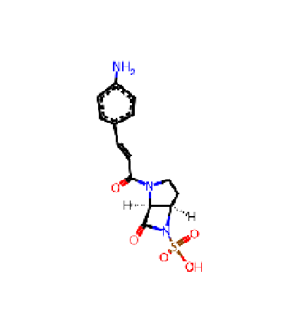 Nc1ccc(/C=C/C(=O)N2CC[C@@H]3[C@H]2C(=O)N3S(=O)(=O)O)cc1